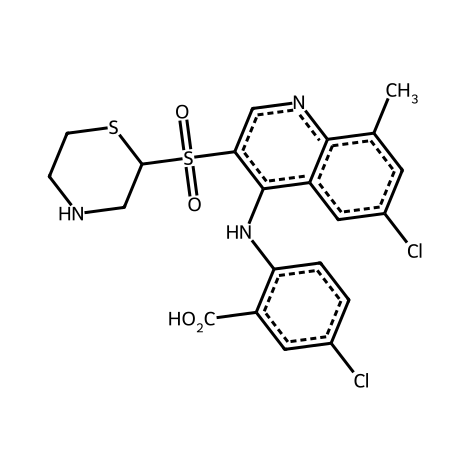 Cc1cc(Cl)cc2c(Nc3ccc(Cl)cc3C(=O)O)c(S(=O)(=O)C3CNCCS3)cnc12